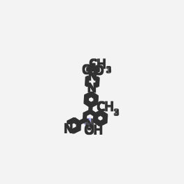 Cc1ccccc1C(C/C(=N/O)c1ccncc1)c1ccc(N2CCN(S(C)(=O)=O)CC2)cc1